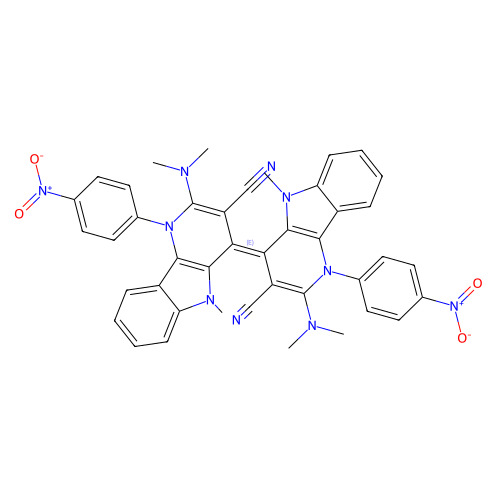 CN(C)C1=C(C#N)/C(=C2/C(C#N)=C(N(C)C)N(c3ccc([N+](=O)[O-])cc3)c3c2n(C)c2ccccc32)c2c(c3ccccc3n2C)N1c1ccc([N+](=O)[O-])cc1